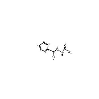 [O]C(=O)NOC(=O)c1ccccc1